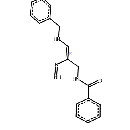 N=N/C(=C\NCc1ccccc1)CNC(=O)c1ccccc1